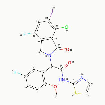 COc1ccc(F)cc1C(C(=O)Nc1nccs1)N1Cc2c(F)cc(I)c(Cl)c2C1=O